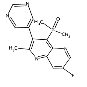 Cc1nc2cc(F)cnc2c(P(C)(C)=O)c1-c1cncnc1